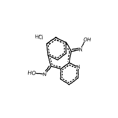 Cl.ON=c1c2ccc(cc2)c(=NO)c2ncccc12